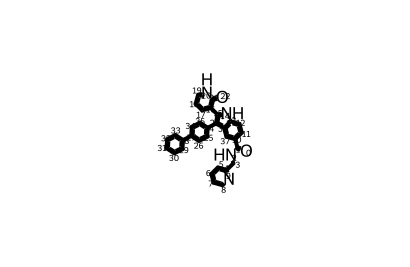 O=C(NCc1ccccn1)c1ccc2[nH]c(-c3ccc[nH]c3=O)c(-c3ccc(-c4ccccc4)cc3)c2c1